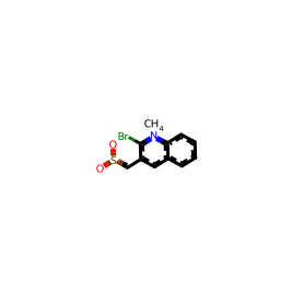 C.O=S(=O)=Cc1cc2ccccc2nc1Br